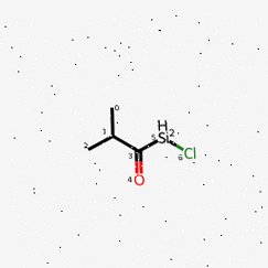 CC(C)C(=O)[SiH2]Cl